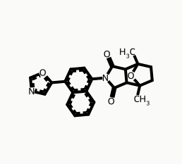 CC12CCC(C)(O1)C1C(=O)N(c3ccc(-c4cnco4)c4ccccc34)C(=O)C12